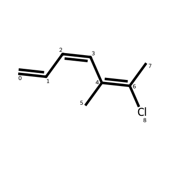 C=C/C=C\C(C)=C(/C)Cl